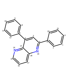 c1ccc(-c2cc(-c3ccccc3)c3ncccc3n2)cc1